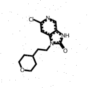 O=c1[nH]c2cnc(Cl)cc2n1CCC1CCOCC1